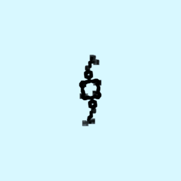 CCNCCCOc1ccc(-c2c3nc(cc4ccc([nH]4)c(-c4ccc(OCCN(CC)CC)cc4)c4nc(cc5ccc2[nH]5)C=C4)C=C3)cc1